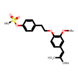 CCCCOc1cc(C=C(OC)C(=O)O)ccc1OCCc1ccc(OS(=O)(=O)CCCC)cc1